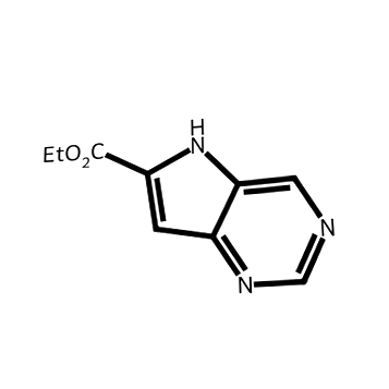 CCOC(=O)c1cc2ncncc2[nH]1